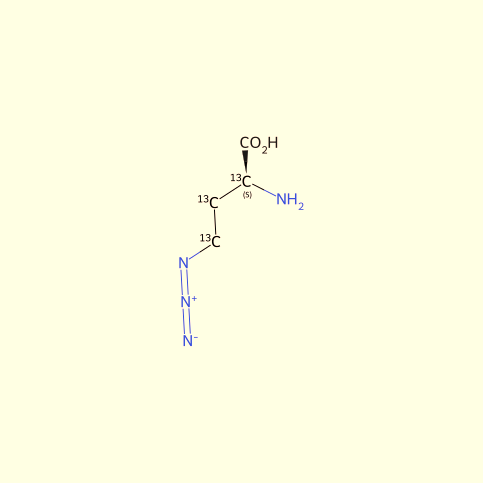 [N-]=[N+]=N[13CH2][13CH2][13C@H](N)[13C](=O)O